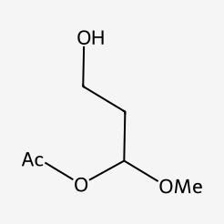 COC(CCO)OC(C)=O